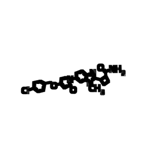 Cn1c(C2CCC2C(N)=O)nc2ccc(-n3ccc(OCc4ccc(Cl)cc4)cc3=O)cc21